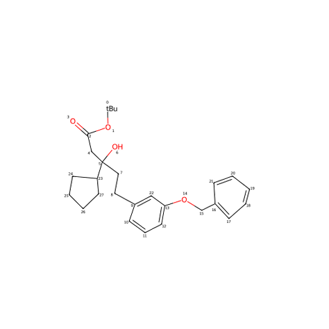 CC(C)(C)OC(=O)CC(O)(CCc1cccc(OCc2ccccc2)c1)C1CCCC1